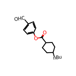 CCCCC1CCC(C(=O)Oc2ccc(C=O)cc2)CC1